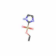 C=COS(=O)(=O)c1ncc[nH]1